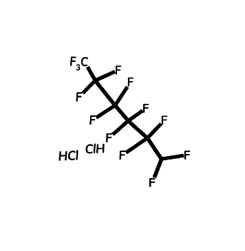 Cl.Cl.FC(F)C(F)(F)C(F)(F)C(F)(F)C(F)(F)C(F)(F)F